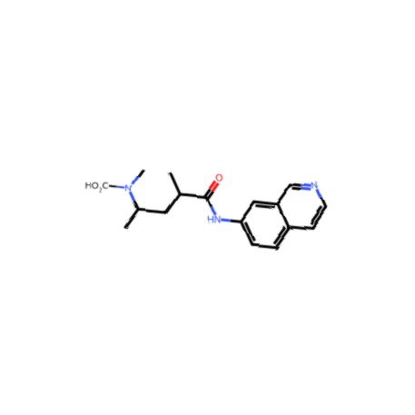 CC(CC(C)N(C)C(=O)O)C(=O)Nc1ccc2ccncc2c1